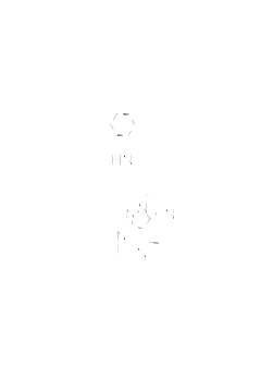 N#CC[C@]1(n2cc(C(N)=O)c(NC(O)C3CC3)n2)CC[C@@H](NCc2ccccc2F)CC1